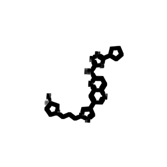 F[C@H]1CCN(CCCn2cc(-c3cnc4ccc(Nc5nnc(C6CCCC6)s5)nc4c3)cn2)C1